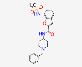 CS(=O)(=O)Nc1cccc2cc(C(=O)NC3CCN(Cc4ccccc4)CC3)oc12